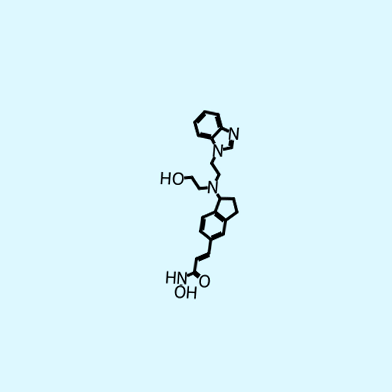 O=C(C=Cc1ccc2c(c1)CCC2N(CCO)CCn1cnc2ccccc21)NO